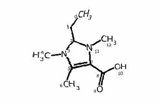 CCC1N(C)C(C)=C(C(=O)O)N1C